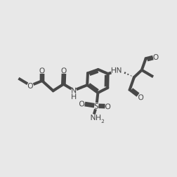 COC(=O)CC(=O)Nc1ccc(N[C@@H](C=O)C(C)C=O)cc1S(N)(=O)=O